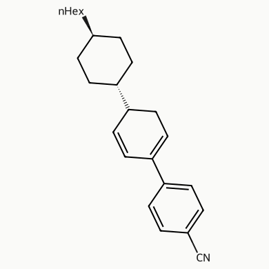 CCCCCC[C@H]1CC[C@H](C2C=CC(c3ccc(C#N)cc3)=CC2)CC1